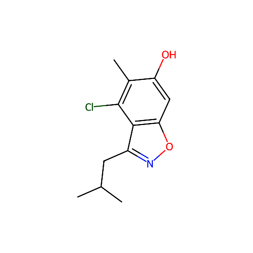 Cc1c(O)cc2onc(CC(C)C)c2c1Cl